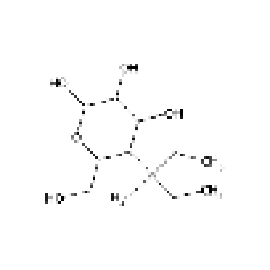 CCC(C)(CC)C1C(CO)OC(O)C(O)C1O